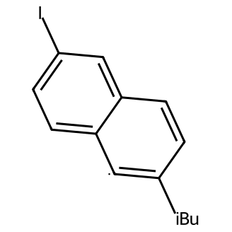 CCC(C)c1[c]c2ccc(I)cc2cc1